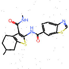 CNC(=O)c1c(NC(=O)c2ccc3ncsc3c2)sc2c1CCC(C)C2